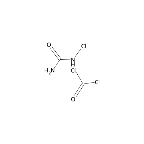 NC(=O)NCl.O=C(Cl)Cl